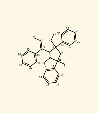 C/C=C(/CC(CC)(CC(C)(CC)c1ccccc1)c1ccccc1)c1ccccc1